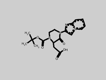 CC(C)(C)OC(=O)N1CCN(c2cn3ccccc3n2)C(=O)C1CC(=O)O